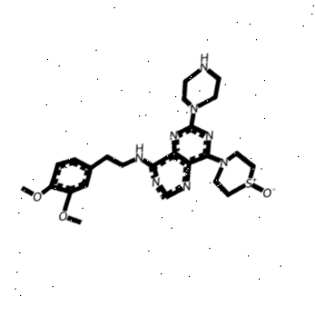 COc1ccc(CCNc2ncnc3c(N4CC[S+]([O-])CC4)nc(N4CCNCC4)nc23)cc1OC